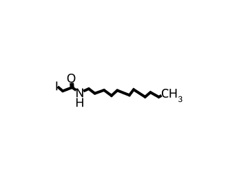 CCCCCCCCCCCNC(=O)CI